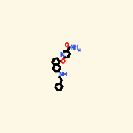 NC(=O)c1ccc(Oc2cccc3c2CC(NCCc2ccccc2)CC3)nc1